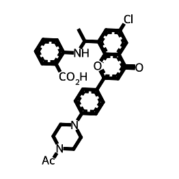 CC(=O)N1CCN(c2ccc(-c3cc(=O)c4cc(Cl)cc(C(C)Nc5ccccc5C(=O)O)c4o3)cc2)CC1